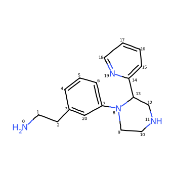 NCCc1cccc(N2CCNCC2c2ccccn2)c1